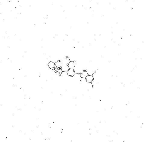 CCCC(=O)Oc1cc(NCc2cc(F)cc(Cl)c2O)ccc1C(=O)OC1CC2CCC1(C)C2(C)C